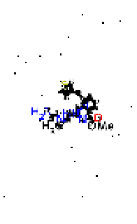 COC(=O)C1=NC=CC23C(=CCC=C12)C(Cc1ccsc1)=CN3NCCN(C)CCN